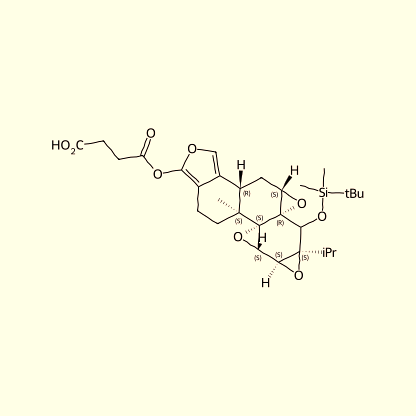 CC(C)[C@]12O[C@H]1[C@@H]1O[C@@]13[C@@]1(C)CCc4c(coc4OC(=O)CCC(=O)O)[C@@H]1C[C@@H]1O[C@@]13C2O[Si](C)(C)C(C)(C)C